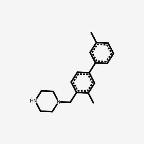 Cc1cccc(-c2ccc(CN3CCNCC3)c(C)c2)c1